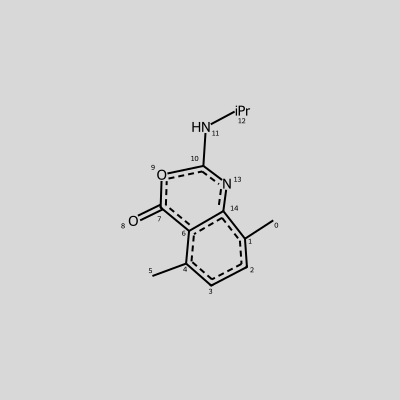 Cc1ccc(C)c2c(=O)oc(NC(C)C)nc12